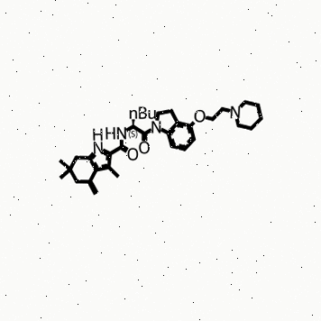 C=C1CC(C)(C)Cc2[nH]c(C(=O)N[C@@H](CCCC)C(=O)N3CCc4c(OCCN5CCCCC5)cccc43)c(C)c21